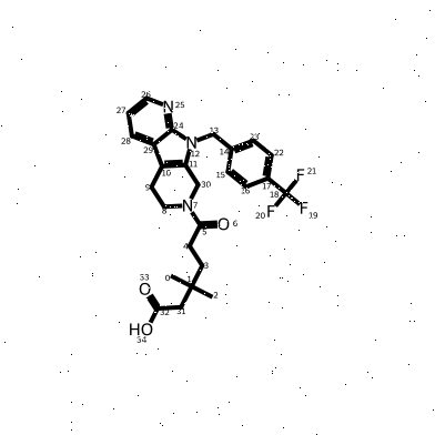 CC(C)(CCC(=O)N1CCc2c(n(Cc3ccc(C(F)(F)F)cc3)c3ncccc23)C1)CC(=O)O